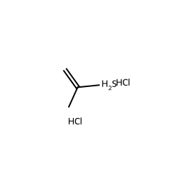 C=C(C)C.Cl.Cl.S